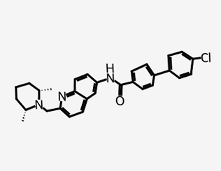 C[C@@H]1CCC[C@H](C)N1Cc1ccc2cc(NC(=O)c3ccc(-c4ccc(Cl)cc4)cc3)ccc2n1